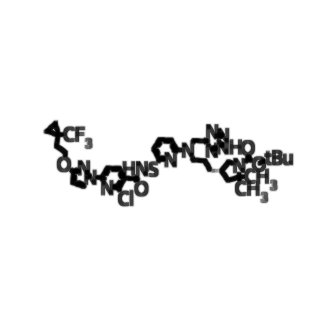 CC(C)(C)OC(=O)N1C[C@@H](CCCN(Cc2nn[nH]n2)c2cccc(SNC(=O)c3ccc(-n4ccc(OCCC5(C(F)(F)F)CC5)n4)nc3Cl)n2)CC1(C)C